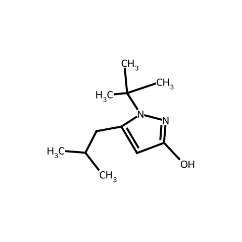 CC(C)Cc1cc(O)nn1C(C)(C)C